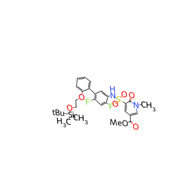 COC(=O)c1cc(S(=O)(=O)Nc2cc(-c3ccccc3OCCO[Si](C)(C)C(C)(C)C)c(F)cc2F)c(=O)n(C)c1